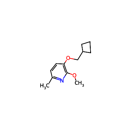 COc1nc(C)ccc1OCC1CCC1